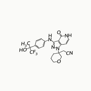 CC(O)(c1ccc(Nc2nn(C3(CC#N)CCCOC3)c3cc[nH]c(=O)c23)cc1)C(F)(F)F